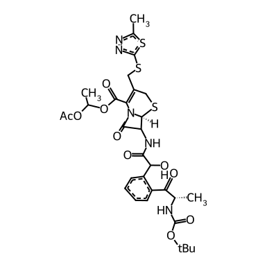 CC(=O)OC(C)OC(=O)C1=C(CSc2nnc(C)s2)CS[C@H]2C(NC(=O)C(O)c3ccccc3C(=O)[C@H](C)NC(=O)OC(C)(C)C)C(=O)N12